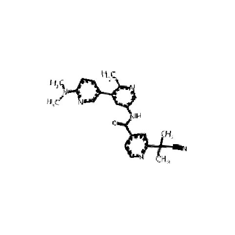 Cc1ncc(NC(=O)c2ccnc(C(C)(C)C#N)c2)cc1-c1ccc(N(C)C)nc1